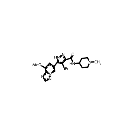 COc1cc(-c2[nH]nc(C(=O)NC3CCN(C)CC3)c2C(C)C)cn2ncnc12